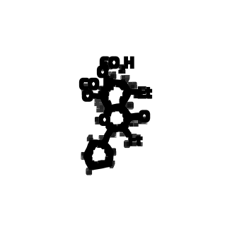 CCc1c(-c2ccccc2)oc2c(OC(=O)O)c(OC(=O)O)cc(CC)c2c1=O